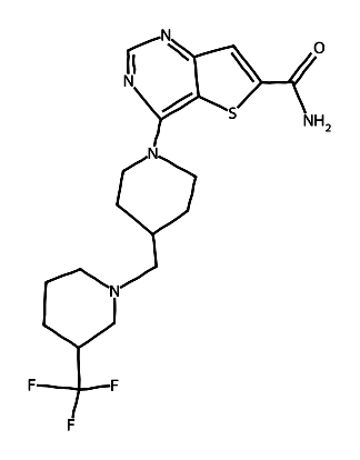 NC(=O)c1cc2ncnc(N3CCC(CN4CCCC(C(F)(F)F)C4)CC3)c2s1